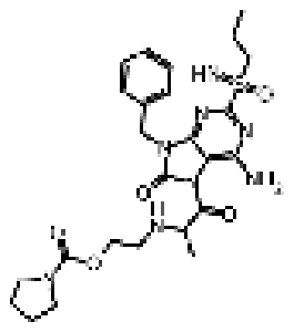 CCCS(=N)(=O)c1nc(N)c2c(n1)n(Cc1ccccc1)c(=O)n2C(=O)C(C)NCCOC(=O)N1CCCC1